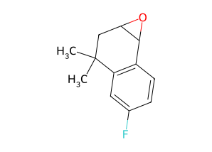 CC1(C)CC2OC2c2ccc(F)cc21